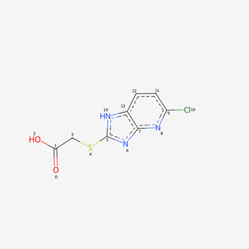 O=C(O)CSc1nc2nc(Cl)ccc2[nH]1